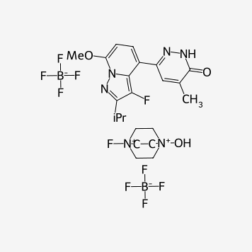 COc1ccc(-c2cc(C)c(=O)[nH]n2)c2c(F)c(C(C)C)nn12.F[B-](F)(F)F.F[B-](F)(F)F.O[N+]12CC[N+](F)(CC1)CC2